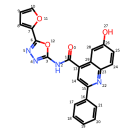 O=C(Nc1nnc(-c2ccco2)o1)c1cc(-c2ccccc2)nc2ccc(O)cc12